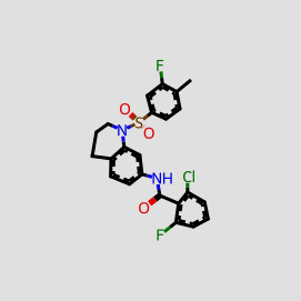 Cc1ccc(S(=O)(=O)N2CCCc3ccc(NC(=O)c4c(F)cccc4Cl)cc32)cc1F